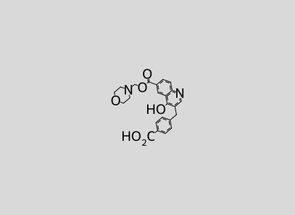 O=C(O)c1ccc(Cc2cnc3ccc(C(=O)OCN4CCOCC4)cc3c2O)cc1